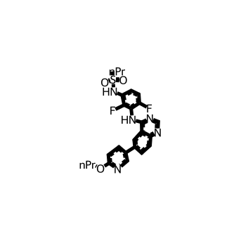 CCCOc1ccc(-c2ccc3ncnc(Nc4c(F)ccc(NS(=O)(=O)CCC)c4F)c3c2)cn1